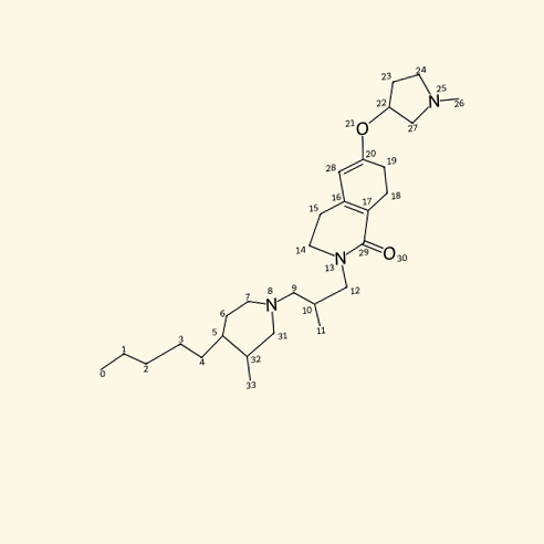 CCCCCC1CCN(CC(C)CN2CCC3=C(CCC(OC4CCN(C)C4)=C3)C2=O)CC1C